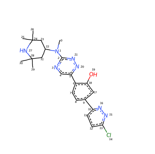 CN(c1ncc(-c2ccc(-c3ccc(Cl)nn3)cc2O)nn1)C1CC(C)(C)NC(C)(C)C1